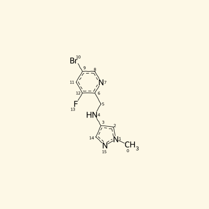 Cn1cc(NCc2ncc(Br)cc2F)cn1